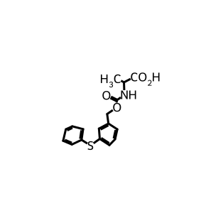 CC(NC(=O)OCc1cccc(Sc2ccccc2)c1)C(=O)O